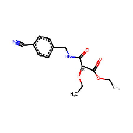 CCOC(=O)[C@@H](OCC)C(=O)NCc1ccc(C#N)cc1